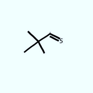 CC(C)(C)[C]=S